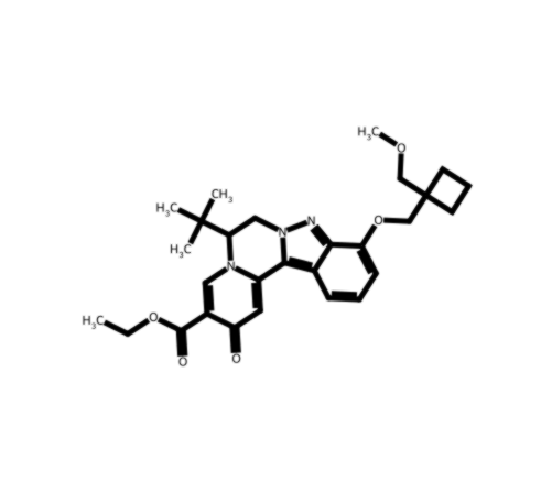 CCOC(=O)c1cn2c(cc1=O)-c1c3cccc(OCC4(COC)CCC4)c3nn1CC2C(C)(C)C